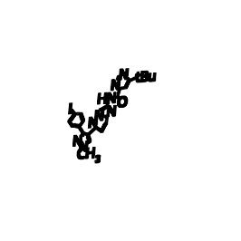 Cn1cc(-c2ccc3nc(NC(=O)c4cc(C(C)(C)C)ncn4)cn3n2)c(-c2ccc(I)cc2)n1